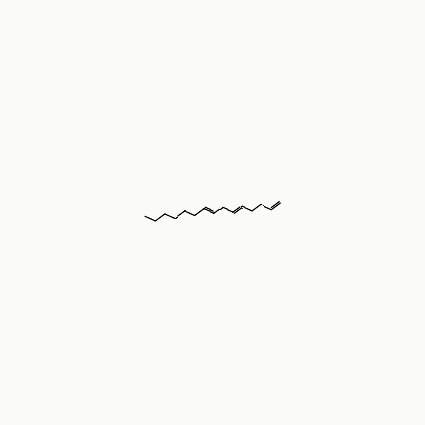 C=CCCC=CCC=CCCCCCC